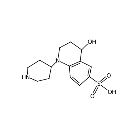 O=S(=O)(O)c1ccc2c(c1)C(O)CCN2C1CCNCC1